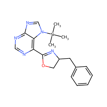 C[Si](C)(C)n1cnc2ncnc(C3=NC(Cc4ccccc4)CO3)c21